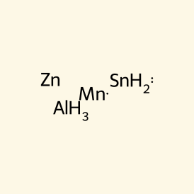 [AlH3].[Mn].[SnH2].[Zn]